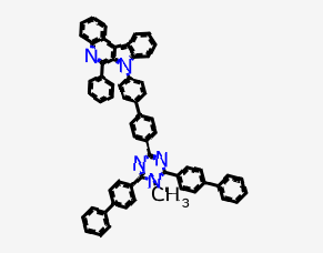 CN1C(c2ccc(-c3ccccc3)cc2)=NC(c2ccc(-c3ccc(-n4c5ccccc5c5c6ccccc6nc(-c6ccccc6)c54)cc3)cc2)=NC1c1ccc(-c2ccccc2)cc1